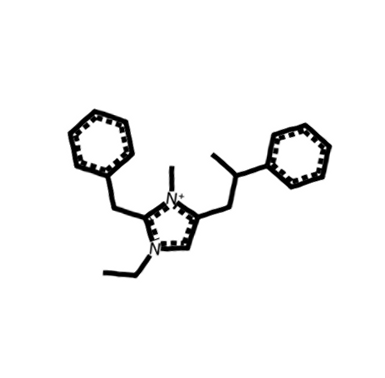 CCn1cc(CC(C)c2ccccc2)[n+](C)c1Cc1ccccc1